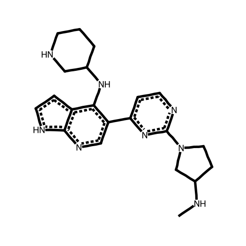 CNC1CCN(c2nccc(-c3cnc4[nH]ccc4c3NC3CCCNC3)n2)C1